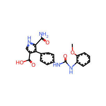 COc1ccccc1NC(=O)Nc1ccc(-c2c(C(=O)O)c[nH]c2C(N)=O)cc1